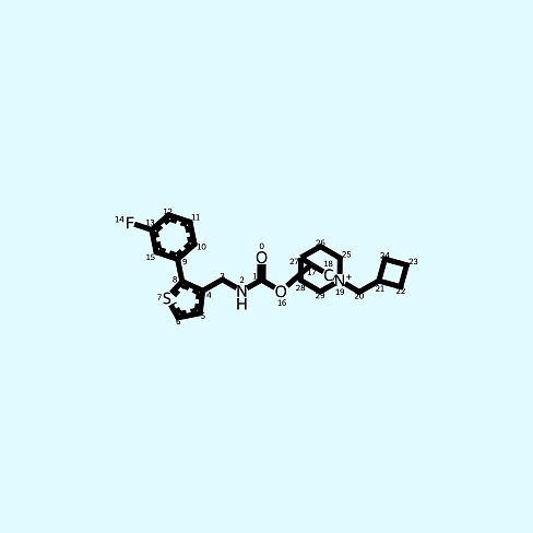 O=C(NCc1ccsc1-c1cccc(F)c1)OC1C[N+]2(CC3CCC3)CCC1CC2